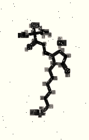 CCCCC(C)(C)C(=O)CC[C@@H]1C(CCCCCCC(=O)O)C(=O)C[C@H]1O